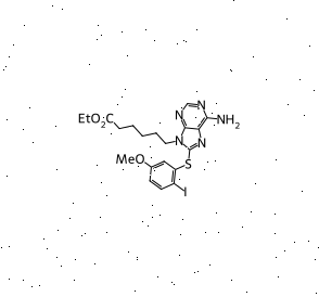 CCOC(=O)CCCCCn1c(Sc2cc(OC)ccc2I)nc2c(N)ncnc21